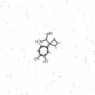 CCCC(N)C1(c2ccc(Cl)c(Cl)c2)CCC1